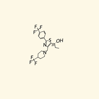 CC[C@@H](O)c1sc(-c2ccc(C(F)(F)F)cc2)nc1CN1CCC(C(F)(F)F)CC1